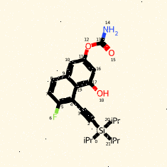 CC(C)[Si](C#Cc1c(F)ccc2cc(OC(N)=O)cc(O)c12)(C(C)C)C(C)C